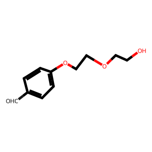 O=Cc1ccc(OCCOCCO)cc1